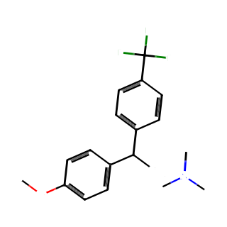 BC(c1ccc(OC)cc1)c1ccc(C(F)(F)F)cc1.CN(C)C